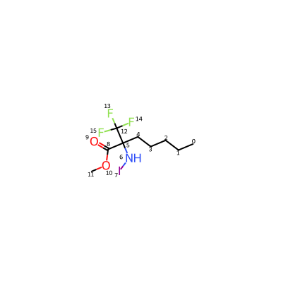 CCCCCC(NI)(C(=O)OC)C(F)(F)F